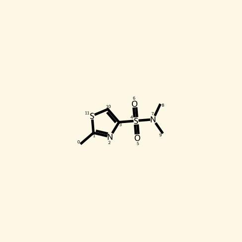 Cc1nc(S(=O)(=O)N(C)C)cs1